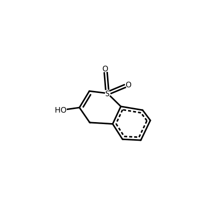 O=S1(=O)C=C(O)Cc2ccccc21